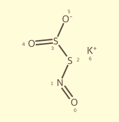 O=NSS(=O)[O-].[K+]